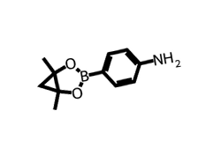 CC12CC1(C)OB(c1ccc(N)cc1)O2